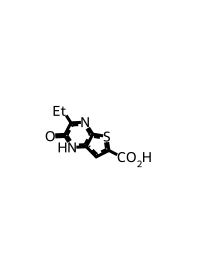 CCc1nc2sc(C(=O)O)cc2[nH]c1=O